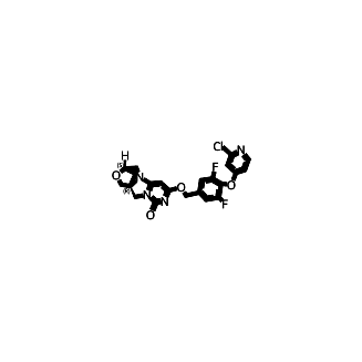 O=c1nc(OCc2cc(F)c(Oc3ccnc(Cl)c3)c(F)c2)cc2n1C[C@]13CO[C@H](CN21)C3